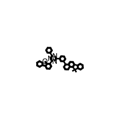 CC1(C)c2ccccc2-c2ccc3c(-c4cccc(-c5nc(-c6ccccc6)nc(-c6cccc7c6oc6ccccc67)n5)c4)cccc3c21